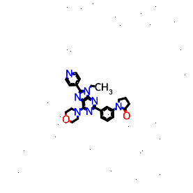 CCn1c(-c2ccncc2)nc2c(N3CCOCC3)nc(-c3cccc(N4CCCC4=O)c3)nc21